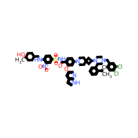 CC(C)c1ccccc1C1CN(Cc2ccc(Cl)c(Cl)c2)CCN1C1CC2(CCN(c3ccc(C(=O)NS(=O)(=O)c4ccc(NCC5CCC(C)(O)CC5)c([N+](=O)[O-])c4)c(Oc4cnc5[nH]ccc5c4)c3)CC2)C1